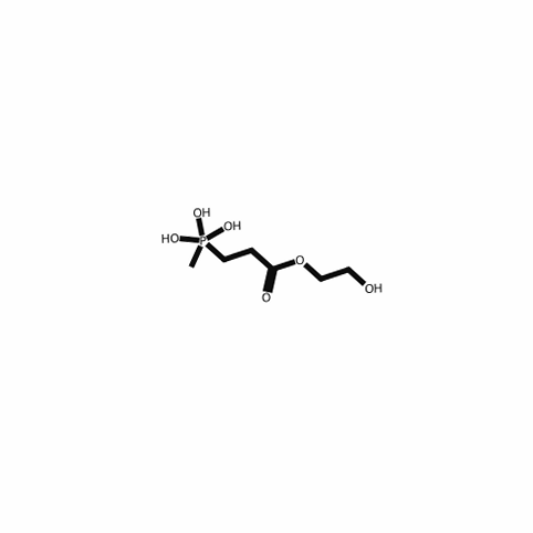 CP(O)(O)(O)CCC(=O)OCCO